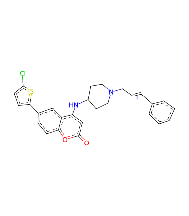 O=c1cc(NC2CCN(C/C=C/c3ccccc3)CC2)c2cc(-c3ccc(Cl)s3)ccc2o1